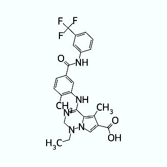 CCN1CN=C(Nc2cc(C(=O)Nc3cccc(C(F)(F)F)c3)ccc2C)c2c(C)c(C(=O)O)cn21